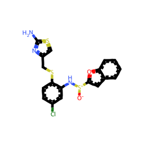 Nc1nc(CSc2ccc(Cl)cc2N[S+]([O-])c2cc3ccccc3o2)cs1